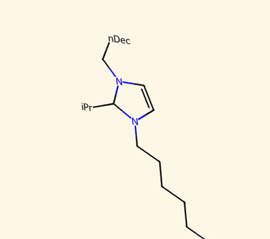 CCCCCCCCCCCCCCCN1C=CN(CCCCCCCCCCC)C1C(C)C